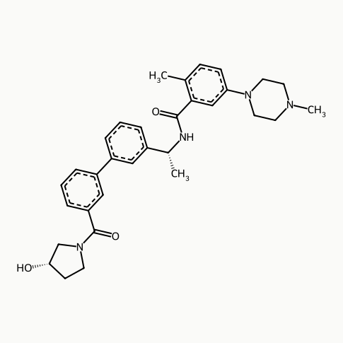 Cc1ccc(N2CCN(C)CC2)cc1C(=O)N[C@H](C)c1cccc(-c2cccc(C(=O)N3CC[C@H](O)C3)c2)c1